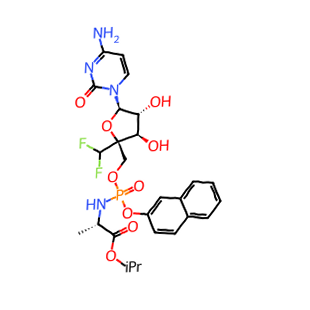 CC(C)OC(=O)[C@H](C)NP(=O)(OC[C@@]1(C(F)F)O[C@@H](n2ccc(N)nc2=O)[C@H](O)[C@H]1O)Oc1ccc2ccccc2c1